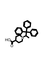 CC(N1CCC(C(=O)O)CC1)C(c1ccccc1)(c1ccccc1)c1ccccc1